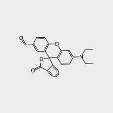 CCN(CC)c1ccc2c(c1)Oc1ccc(C=O)cc1C21OC(=O)c2ccccc21